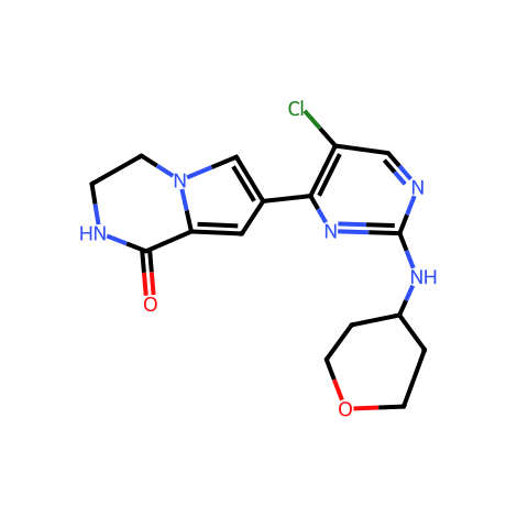 O=C1NCCn2cc(-c3nc(NC4CCOCC4)ncc3Cl)cc21